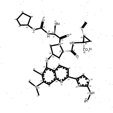 C=C[C@@H]1C[C@]1(NC(=O)[C@@H]1C[C@@H](Oc2c(C)c(N(C)C)cc3nc(-c4csc(NC(C)C)n4)ccc23)CN1C(=O)[C@@H](NC(=O)OC1CCCC1)C(C)(C)C)C(=O)O